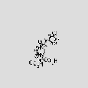 O=C(O)CC(C(=O)O)N1CCN(C(=O)/C=C/c2cccc(Cl)c2)CCC1=O